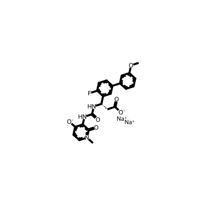 COc1cccc(-c2ccc(F)c([C@H](CC(=O)[O-])NC(=O)Nc3c([O-])ccn(C)c3=O)c2)c1.[Na+].[Na+]